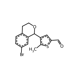 Cc1sc(C=O)cc1C1OCCc2ccc(Br)cc21